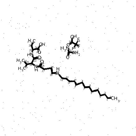 CCCCCCCCCCCCCCNCCCC(=O)NC(C(=O)NC(CC)C(=O)O)C(C)C.NC(N)=O.O=C(O)C(F)(F)F